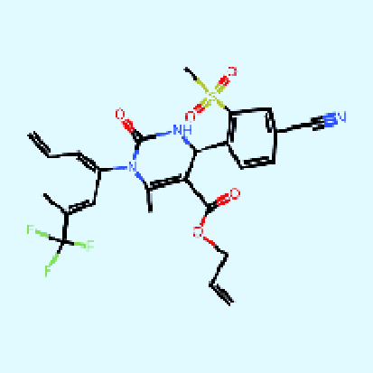 C=C/C=C(\C=C(/C)C(F)(F)F)N1C(=O)N[C@@H](c2ccc(C#N)cc2S(C)(=O)=O)C(C(=O)OCC=C)=C1C